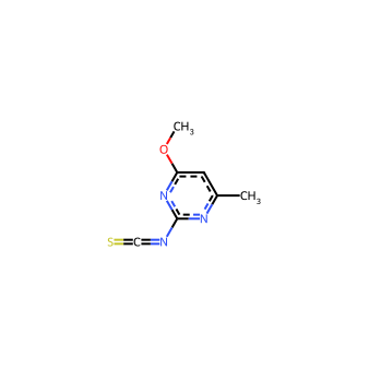 COc1cc(C)nc(N=C=S)n1